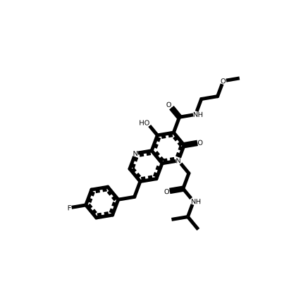 COCCNC(=O)c1c(O)c2ncc(Cc3ccc(F)cc3)cc2n(CC(=O)NC(C)C)c1=O